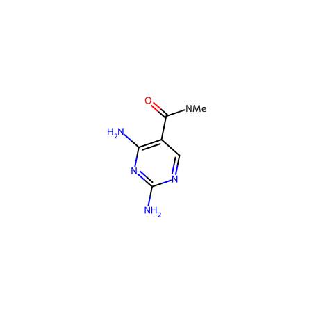 CNC(=O)c1cnc(N)nc1N